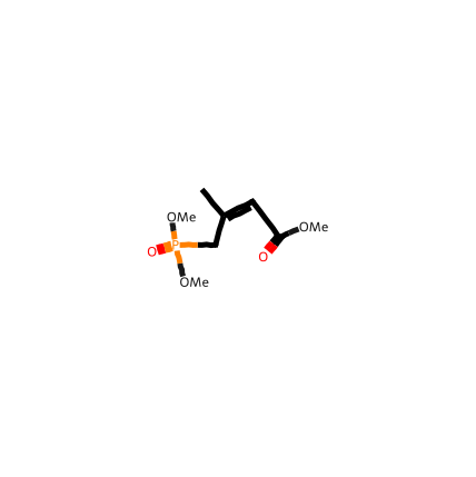 COC(=O)C=C(C)CP(=O)(OC)OC